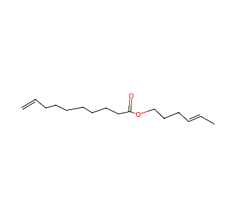 C=CCCCCCCCC(=O)OCCCC=CC